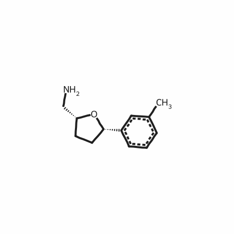 Cc1cccc([C@@H]2CC[C@H](CN)O2)c1